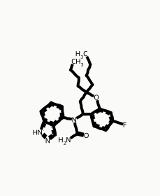 CCCCC1(CCCC)CC(N(C(N)=O)c2cccc3[nH]ncc23)c2ccc(F)cc2O1